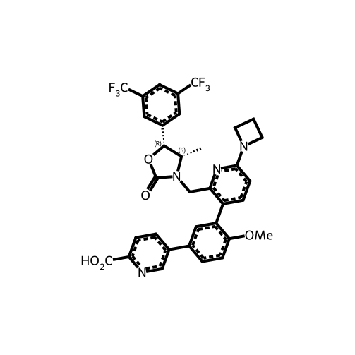 COc1ccc(-c2ccc(C(=O)O)nc2)cc1-c1ccc(N2CCC2)nc1CN1C(=O)O[C@H](c2cc(C(F)(F)F)cc(C(F)(F)F)c2)[C@@H]1C